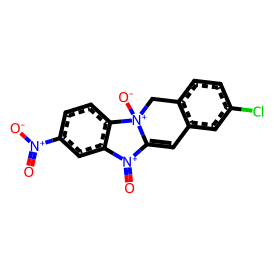 O=[N+]([O-])c1ccc2c(c1)[N+](=O)C1=Cc3cc(Cl)ccc3C[N+]12[O-]